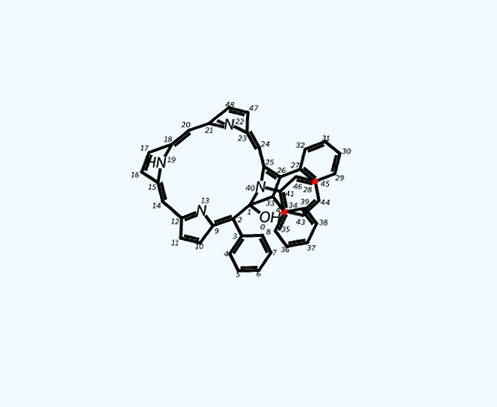 OC12C(c3ccccc3)=C3C=CC(=N3)C=c3ccc([nH]3)=CC3=NC(=CC(=C(c4ccccc4)C1c1ccccc1)N2c1ccccc1)C=C3